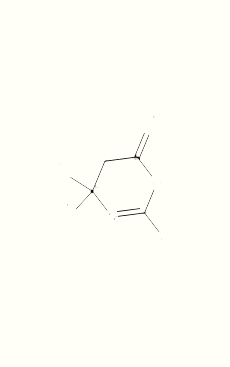 CC1=NC(C)(C)CC(=O)O1